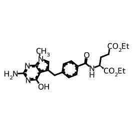 CCOC(=O)CC[C@H](NC(=O)c1ccc(Cc2cn(C)c3nc(N)nc(O)c23)cc1)C(=O)OCC